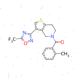 Cc1ccccc1C(=O)N1CCc2scc(-c3noc(C(F)(F)F)n3)c2C1